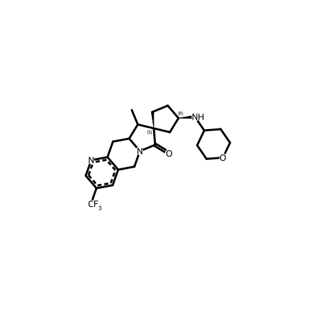 CC1C2Cc3ncc(C(F)(F)F)cc3CN2C(=O)[C@]12CC[C@@H](NC1CCOCC1)C2